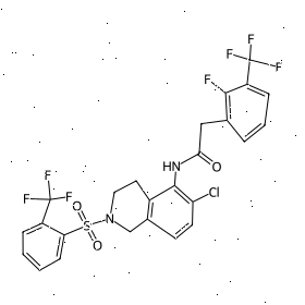 O=C(Cc1cccc(C(F)(F)F)c1F)Nc1c(Cl)ccc2c1CCN(S(=O)(=O)c1ccccc1C(F)(F)F)C2